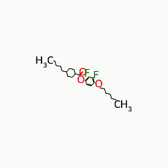 CCCCCCCOc1ccc(OC(=O)C2CCC(CCCCC)CC2)c(F)c1F